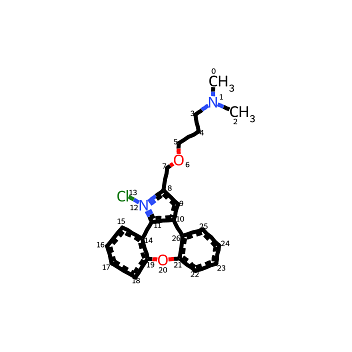 CN(C)CCCOCc1cc2c(n1Cl)-c1ccccc1Oc1ccccc1-2